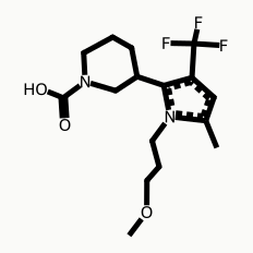 COCCCn1c(C)cc(C(F)(F)F)c1C1CCCN(C(=O)O)C1